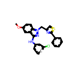 COc1ccc2c(c1)c(Nc1cccc(Cl)c1)nn2Cc1csc(-c2ccccc2)n1